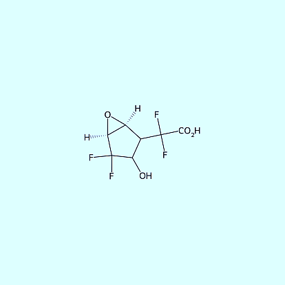 O=C(O)C(F)(F)C1C(O)C(F)(F)[C@H]2O[C@@H]12